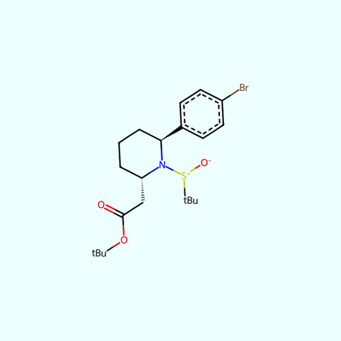 CC(C)(C)OC(=O)C[C@@H]1CCC[C@@H](c2ccc(Br)cc2)N1[S+]([O-])C(C)(C)C